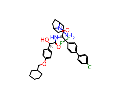 NC1CC2CCC(C1)N2C(=O)[C@H](NC(=O)[C@H](O)c1ccc(OCC2CCCCC2)cc1)C(F)(F)c1ccc(-c2ccc(Cl)cc2)cc1